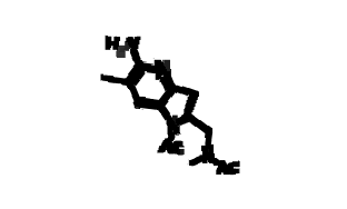 CC(=O)N(C)Cc1cc2nc(N)c(C)cc2n1C(C)=O